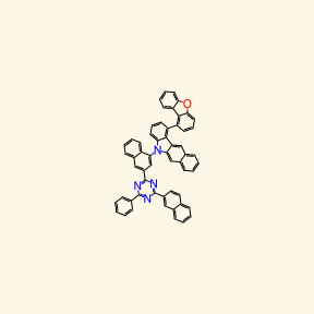 c1ccc(-c2nc(-c3ccc4ccccc4c3)nc(-c3cc(-n4c5cc6ccccc6cc5c5c(-c6cccc7oc8ccccc8c67)cccc54)c4ccccc4c3)n2)cc1